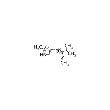 CC#C/C(=N\OC[C@H]1CNC[C@@H](C)O1)C(C)C